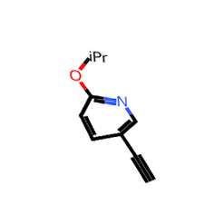 C#Cc1ccc(OC(C)C)nc1